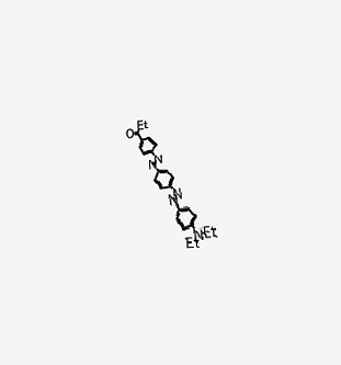 CCC(=O)c1ccc(N=Nc2ccc(N=Nc3ccc(N(CC)CC)cc3)cc2)cc1